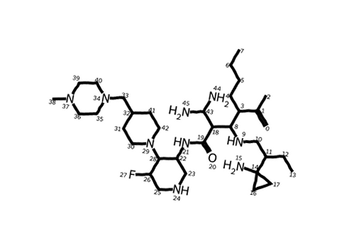 C=C(C)C(CCCC)C(NCC(CC)C1(N)CC1)C(C(=O)NC1CNCC(F)C1N1CCC(CN2CCN(C)CC2)CC1)C(N)N